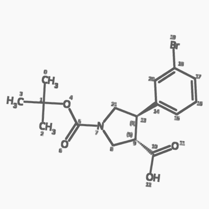 CC(C)(C)OC(=O)N1C[C@@H](C(=O)O)[C@H](c2cccc(Br)c2)C1